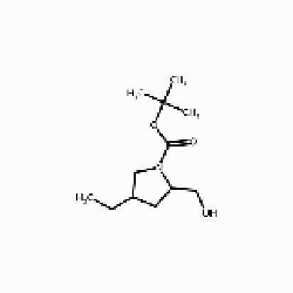 CCC1CC(CO)N(C(=O)OC(C)(C)C)C1